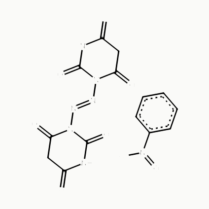 O=C1CC(=O)N(N=NN2C(=O)CC(=O)NC2=O)C(=O)N1.O=[N+]([O-])c1ccccc1